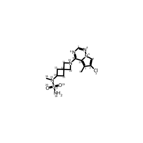 Cc1c(Cl)cn2ncnc(N3CC4(CC(N(C)S(N)(=O)=O)C4)C3)c12